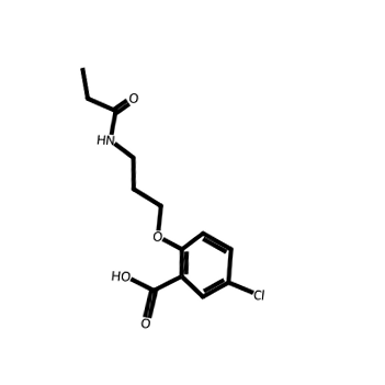 CCC(=O)NCCCOc1ccc(Cl)cc1C(=O)O